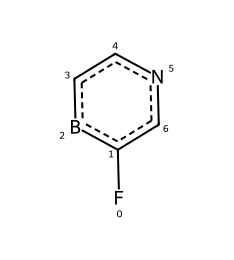 Fc1bccnc1